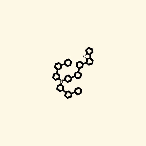 c1ccc(-c2cccc(-c3cccc(N(c4ccc(-c5cccc(-c6cccc(-c7cccc8c7oc7ccccc78)c6)c5)cc4)c4cccc(-c5cccc(-c6ccccc6)c5)c4)c3)c2)cc1